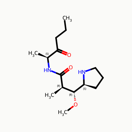 CCCC(=O)[C@H](C)NC(=O)[C@H](C)[C@@H](OC)[C@@H]1CCCN1